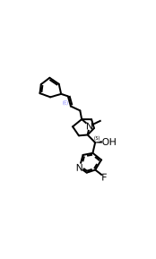 CN1C2(C/C=C/C3C=CC=CC3)CCC1([C@@H](O)c1cncc(F)c1)CC2